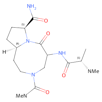 CNC(=O)N1CC[C@H]2CC[C@@H](C(N)=O)N2C(=O)C(NC(=O)[C@H](C)NC)C1